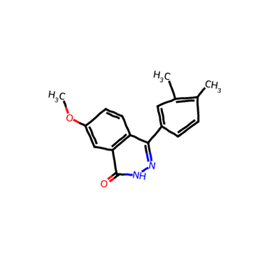 COc1ccc2c(-c3ccc(C)c(C)c3)n[nH]c(=O)c2c1